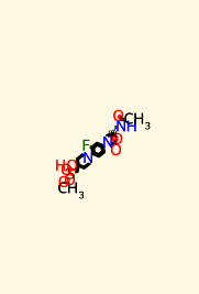 COOS(=O)CC1(O)CCN(c2ccc(N3C[C@H](CNC(C)=O)OC3=O)cc2F)CC1